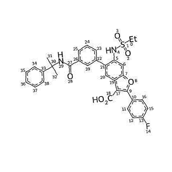 CCS(=O)(=O)Nc1cc2oc(-c3ccc(F)cc3)c(C(=O)O)c2cc1-c1cccc(C(=O)NC(C)(C)c2ccccc2)c1